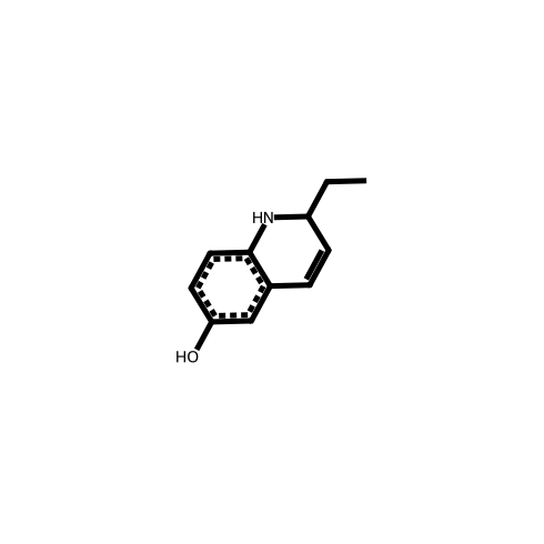 CCC1C=Cc2cc(O)ccc2N1